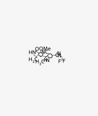 COc1cc(-c2c3c(C#N)cc(-c4cnn(CC(F)F)c4)cc3nn2C)cc2c1C(=O)NC[C@@H]2C